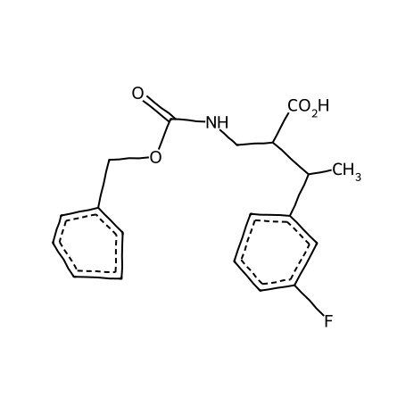 CC(c1cccc(F)c1)C(CNC(=O)OCc1ccccc1)C(=O)O